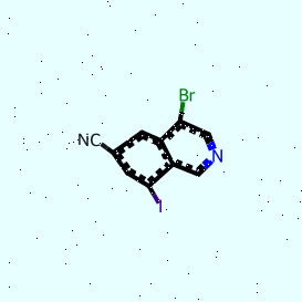 N#Cc1cc(I)c2cncc(Br)c2c1